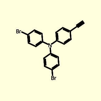 C#Cc1ccc(N(c2ccc(Br)cc2)c2ccc(Br)cc2)cc1